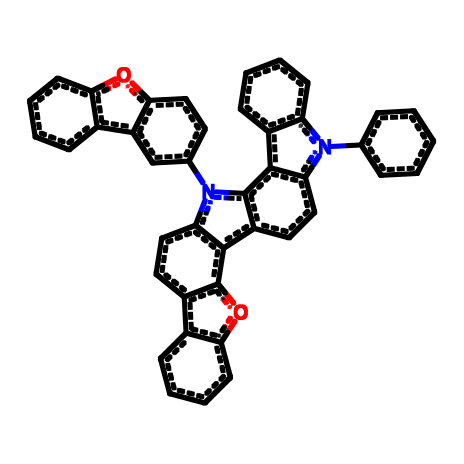 c1ccc(-n2c3ccccc3c3c2ccc2c4c5oc6ccccc6c5ccc4n(-c4ccc5oc6ccccc6c5c4)c23)cc1